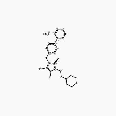 CCCc1c(Cl)n(CCC2CCCCC2)c(=O)n1Cc1ccc(-c2ccccc2C(=O)O)cc1